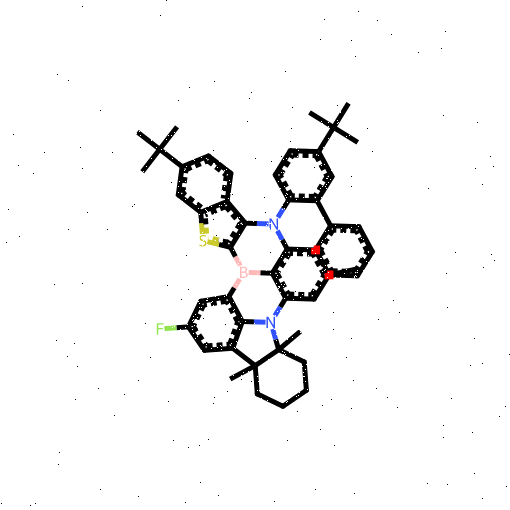 Cc1cc2c3c(c1)N1c4c(cc(F)cc4C4(C)CCCCC14C)B3c1sc3cc(C(C)(C)C)ccc3c1N2c1ccc(C(C)(C)C)cc1-c1ccccc1